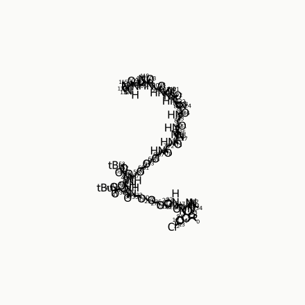 Cc1sc2c(c1C)C(c1ccc(Cl)cc1)=N[C@@H](CC(=O)Nc1ccc(OCCOCCOCCNC(=O)[C@@H](CCC(=O)OC(C)(C)C)NC(=O)[C@@H](CCC(=O)OC(C)(C)C)NC(=O)CCOCCOCCOCCNC(=O)CCNC(=O)c3nc(NC(=O)CCNC(=O)c4cc(NC(=O)c5nc(NC(=O)CCNC(=O)c6cc(NC(=O)c7nccn7C)cn6C)cn5C)cn4C)cn3C)cc1)c1nnc(C)n1-2